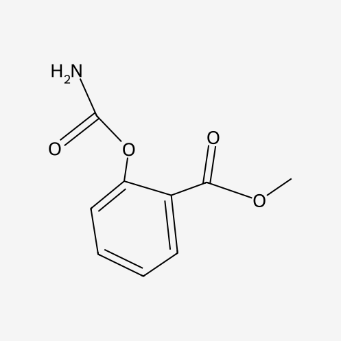 COC(=O)c1ccccc1OC(N)=O